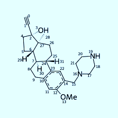 C#C[C@]1(O)CC[C@H]2[C@@H]3CCc4cc(OC)c(CN5CCNCC5)cc4[C@H]3CC[C@@]21C